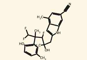 Cc1ccc(O)c(C(C)(C(F)F)C(F)C(C)(O)Cc2cc3c(C)cc(C#N)cc3[nH]2)c1